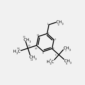 C[CH]c1cc(C(C)(C)C)cc(C(C)(C)C)c1